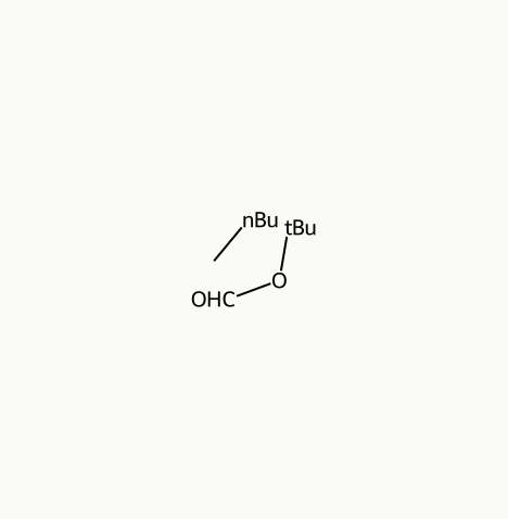 CC(C)(C)OC=O.CCCCC